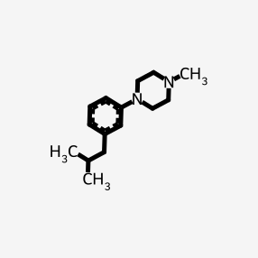 CC(C)Cc1cccc(N2CCN(C)CC2)c1